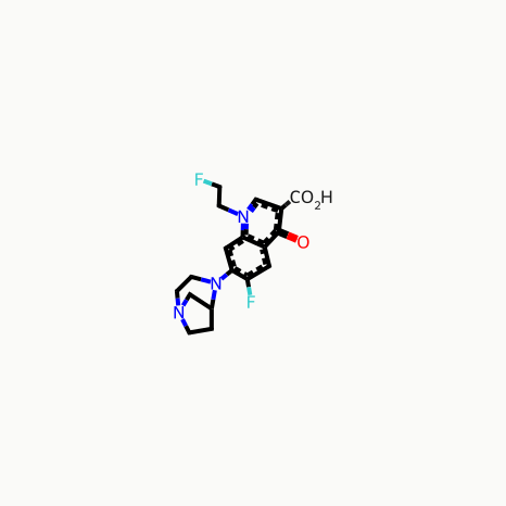 O=C(O)c1cn(CCF)c2cc(N3CCN4CCC3C4)c(F)cc2c1=O